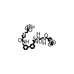 CC(C)(C)OC(=O)CCN1CC(C(=O)NCc2cccc(-c3cccc(-c4csc(NC(=O)CNC(=O)c5ccn(S(C)(=O)=O)c5)n4)c3)c2)C1